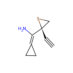 C#C[C@]1(C(N)=C2CC2)CS1